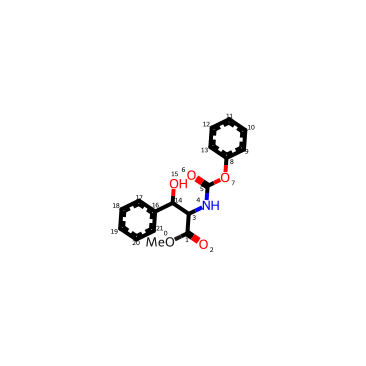 COC(=O)C(NC(=O)Oc1ccccc1)C(O)c1ccccc1